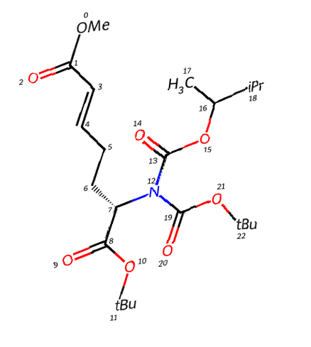 COC(=O)/C=C/CC[C@@H](C(=O)OC(C)(C)C)N(C(=O)OC(C)C(C)C)C(=O)OC(C)(C)C